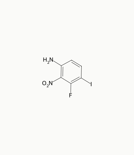 Nc1ccc(I)c(F)c1[N+](=O)[O-]